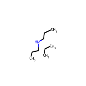 CCC.CCCNCCC